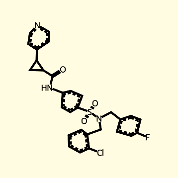 O=C(Nc1ccc(S(=O)(=O)N(Cc2ccc(F)cc2)Cc2ccccc2Cl)cc1)C1CC1c1ccncc1